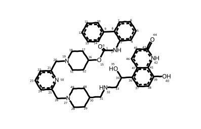 O=C(Nc1ccccc1-c1ccccc1)OC1CCN(Cc2cccc(CN3CCC(CNCC(O)c4ccc(O)c5[nH]c(=O)ccc45)CC3)n2)CC1